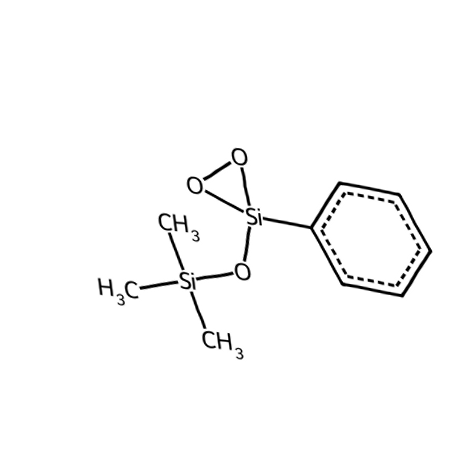 C[Si](C)(C)O[Si]1(c2ccccc2)OO1